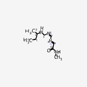 CCC(C)NC/N=C\N=C\C(=O)NC